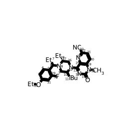 CCOc1ccc(C(CC)N2CC(C(C)CC)N(c3nc(=O)n(C)c4ccc(C#N)nc34)C[C@H]2CC)c(F)c1